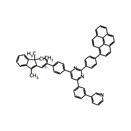 CC1=C(/C=C(\C)c2ccc(-c3cc(-c4cccc(-c5cccnc5)c4)nc(-c4ccc(-c5ccc6ccc7cccc8ccc5c6c78)cc4)n3)cc2)C(C)(C)c2ccccc21